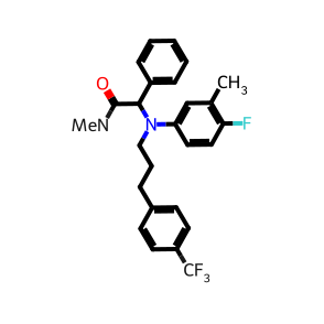 CNC(=O)C(c1ccccc1)N(CCCc1ccc(C(F)(F)F)cc1)c1ccc(F)c(C)c1